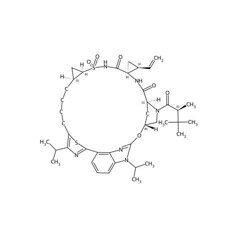 C=C[C@@H]1C[C@@]12NC(=O)[C@@H]1C[C@H](CN1C(=O)[C@@H](C)C(C)(C)C)Oc1nc3c(cccc3n1C(C)C)-c1nc(C(C)C)c(s1)CCCC[C@H]1C[C@H]1S(=O)(=O)NC2=O